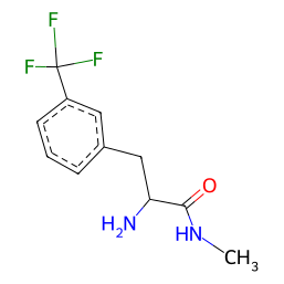 CNC(=O)C(N)Cc1cccc(C(F)(F)F)c1